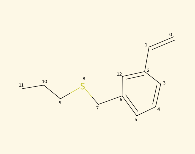 C=Cc1cccc(CSCCC)c1